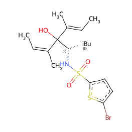 CC=C(C)C(O)(C(C)=CC)[C@@H](NS(=O)(=O)c1ccc(Br)s1)[C@@H](C)CC